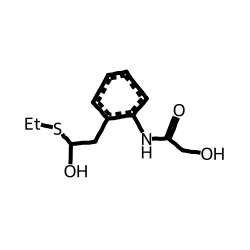 CCSC(O)Cc1ccccc1NC(=O)CO